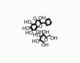 O=c1c(O)c(-c2ccccc2)oc2c(O)c(O)c(O)c(O)c12.OC[C@H]1OC(O)[C@H](O)[C@@H](O)[C@@H]1O